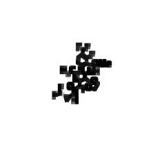 COC(Nc1nc(C)nc(C(F)C(=O)N[C@H]2C[C@@H]2C(F)F)c1C1OCCO1)c1cccc(C(F)F)c1F